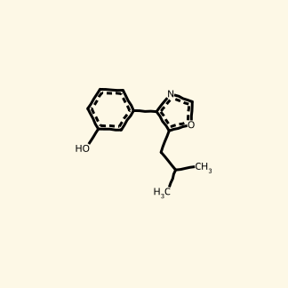 CC(C)Cc1ocnc1-c1cccc(O)c1